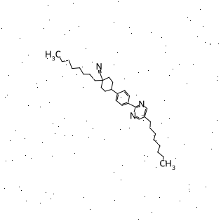 CCCCCCCCc1cnc(-c2ccc(C3CCC(C#N)(CCCCCCCC)CC3)cc2)nc1